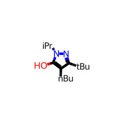 CCCCc1c(C(C)(C)C)nn(C(C)C)c1O